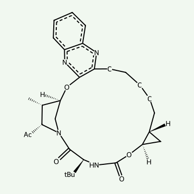 CC(=O)[C@@H]1[C@H](C)[C@@H]2CN1C(=O)[C@H](C(C)(C)C)NC(=O)O[C@@H]1C[C@H]1CCCCCc1nc3ccccc3nc1O2